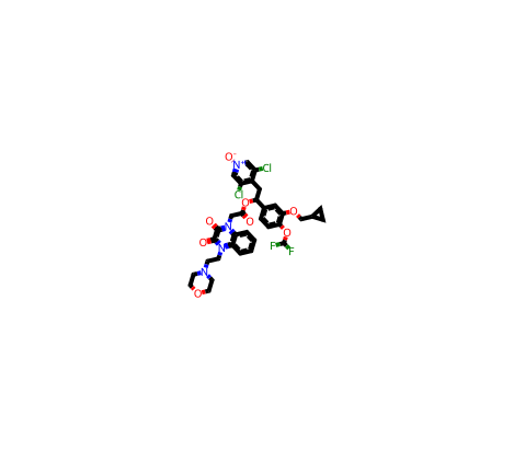 O=C(Cn1c(=O)c(=O)n(CCN2CCOCC2)c2ccccc21)OC(Cc1c(Cl)c[n+]([O-])cc1Cl)c1ccc(OC(F)F)c(OCC2CC2)c1